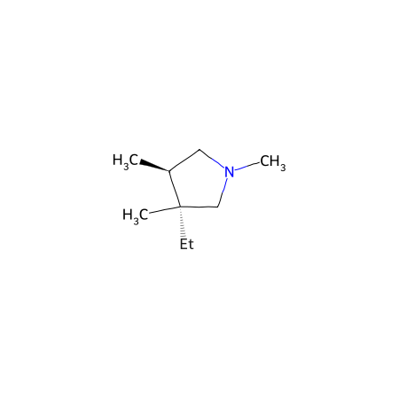 CC[C@@]1(C)CN(C)C[C@@H]1C